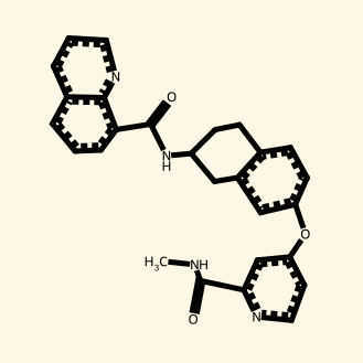 CNC(=O)c1cc(Oc2ccc3c(c2)CC(NC(=O)c2cccc4cccnc24)CC3)ccn1